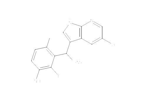 COC(c1c(F)ccc(N)c1F)c1c[nH]c2ncc(Br)cc12